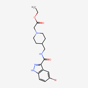 CCOC(=O)CN1CCC(CNC(=O)c2n[nH]c3ccc(Br)cc23)CC1